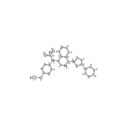 COc1ccc(N(c2cnc(-n3ccc(-c4ccccc4)c3)c3ccccc23)[SH](=O)=O)cc1